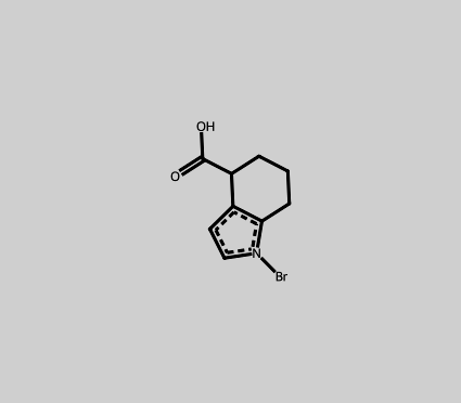 O=C(O)C1CCCc2c1ccn2Br